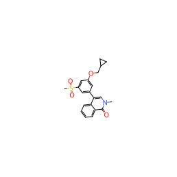 Cn1cc(-c2cc(OCC3CC3)cc(S(C)(=O)=O)c2)c2ccccc2c1=O